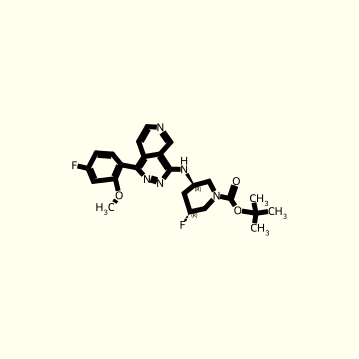 COc1cc(F)ccc1-c1nnc(N[C@@H]2C[C@@H](F)CN(C(=O)OC(C)(C)C)C2)c2cnccc12